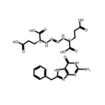 Nc1nc2nc(Cc3ccccc3)[nH]c2c(=O)[nH]1.O=C(O)CC[C@H](NN=NN[C@@H](CCC(=O)O)C(=O)O)C(=O)O